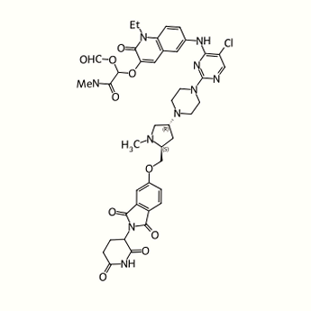 CCn1c(=O)c(OC(OC=O)C(=O)NC)cc2cc(Nc3nc(N4CCN([C@@H]5C[C@@H](COc6ccc7c(c6)C(=O)N(C6CCC(=O)NC6=O)C7=O)N(C)C5)CC4)ncc3Cl)ccc21